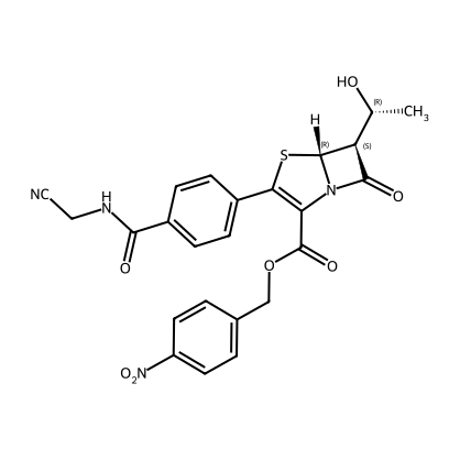 C[C@@H](O)[C@H]1C(=O)N2C(C(=O)OCc3ccc([N+](=O)[O-])cc3)=C(c3ccc(C(=O)NCC#N)cc3)S[C@H]12